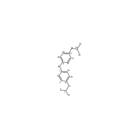 CC(C)Cc1ccc(Cc2ccc(CC(C)C)cc2)cc1